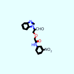 O=CC(COCC(=O)Nc1cccc([N+](=O)[O-])c1)n1cnc2ccccc21